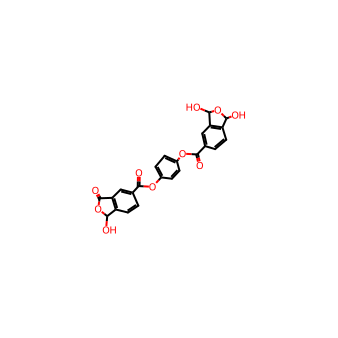 O=C(Oc1ccc(OC(=O)c2ccc3c(c2)C(O)OC3O)cc1)c1ccc2c(c1)C(=O)OC2O